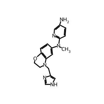 CN(c1ccc2c(c1)N(Cc1c[nH]cn1)CCO2)c1ccc(N)cn1